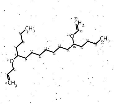 C=CCOC(CCCC)CCCCCCCC(CCCC)OC=C